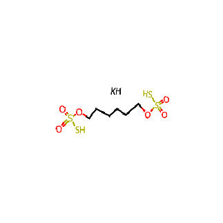 O=S(=O)(S)OCCCCCCOS(=O)(=O)S.[KH]